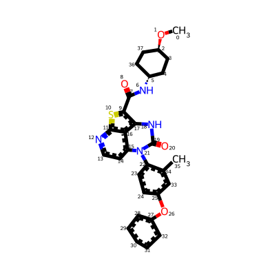 CO[C@H]1CC[C@H](NC(=O)c2sc3nccc4c3c2NC(=O)N4c2ccc(Oc3ccccc3)cc2C)CC1